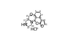 Cl.O=C1c2c(cccc2-c2ccoc2)OCC2CNCCN12